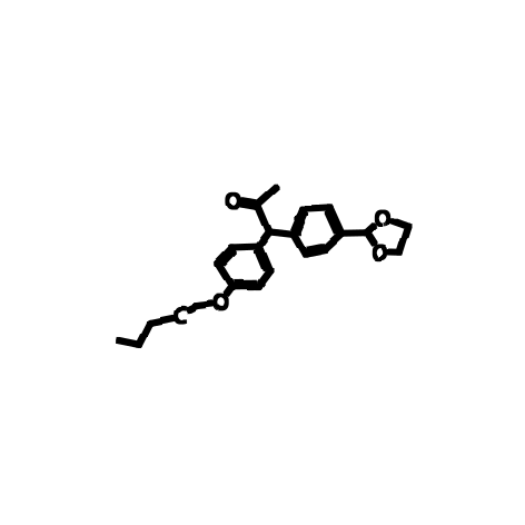 CCCCCOc1ccc(C(C(C)=O)c2ccc(C3OCCO3)cc2)cc1